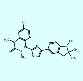 CN(C(=O)OC(C)(C)C)c1cc(C(F)(F)F)cnc1Nc1nc(-c2cc3c(cn2)N(C)C(C)(C)C3)cs1